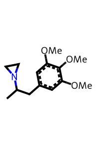 COc1cc(CC(C)N2CC2)cc(OC)c1OC